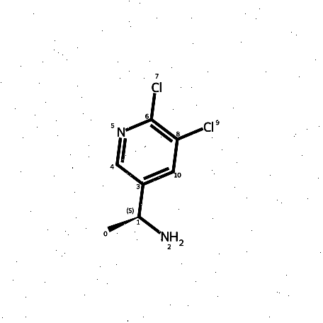 C[C@H](N)c1cnc(Cl)c(Cl)c1